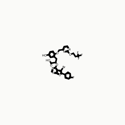 O=C(O)C(Cc1cc(O)ccc1OCc1ccnc(OCCC(F)(F)F)n1)Oc1ncnc2sc(-c3ccc(F)cc3)c(Br)c12